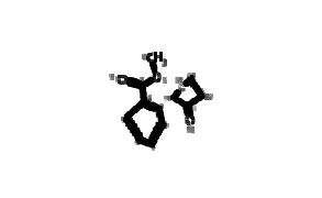 COC(=O)c1ccccc1.O=C1CCCC1